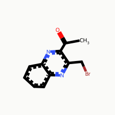 CC(=O)c1nc2ccccc2nc1CBr